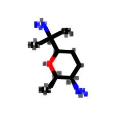 C[C@H]1OC(C(C)(C)N)CC[C@H]1N